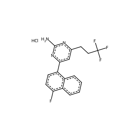 Cl.Nc1nc(CCC(F)(F)F)cc(-c2ccc(F)c3ccccc23)n1